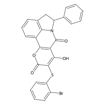 O=c1oc2c(c(O)c1Sc1ccccc1Br)c(=O)n1c3c(cccc23)CC1c1ccccc1